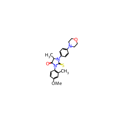 COc1ccc(N2C(=O)C(C)N(c3ccc(N4CCOCC4)cc3)C2=S)c(C)c1